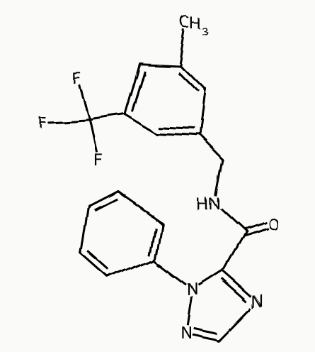 Cc1cc(CNC(=O)c2ncnn2-c2ccccc2)cc(C(F)(F)F)c1